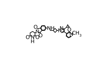 Cn1cccc(-c2cn(C3CC(CNc4ccc5c(c4)C(=O)N(C4CCC(=O)NC4=O)C5=O)C3)nc2C2CC2)c1=O